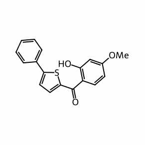 COc1ccc(C(=O)c2ccc(-c3ccccc3)s2)c(O)c1